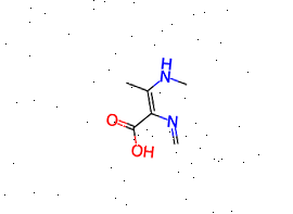 C=N/C(C(=O)O)=C(/C)NC